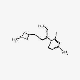 CCN(CCC1CN(C)C1)C1CC=C(N)C=C1F